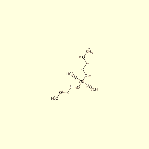 C#C[Si](C#C)(OCCOC)OCCOC